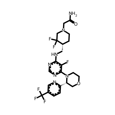 NC(=O)CN1CC[C@H](CNc2ncnc(N3CCOC[C@@H]3c3ccc(C(F)(F)F)cn3)c2F)C(F)(F)C1